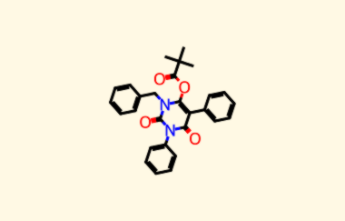 CC(C)(C)C(=O)Oc1c(-c2ccccc2)c(=O)n(-c2ccccc2)c(=O)n1Cc1ccccc1